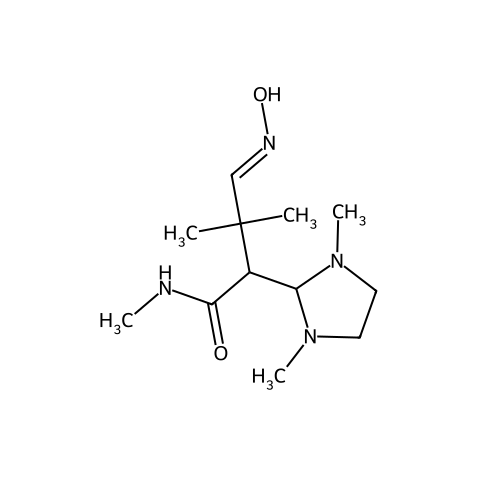 CNC(=O)C(C1N(C)CCN1C)C(C)(C)C=NO